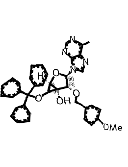 COc1ccc(CO[C@H]2[C@H](n3cnc4c(C)ncnc43)O[C@@H]3C(OC(c4ccccc4)(c4ccccc4)c4ccccc4)[C@@]32O)cc1